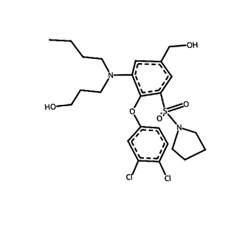 CCCCN(CCCO)c1cc(CO)cc(S(=O)(=O)N2CCCC2)c1Oc1ccc(Cl)c(Cl)c1